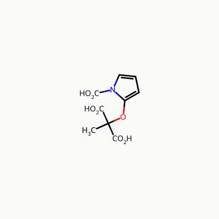 CC(Oc1cccn1C(=O)O)(C(=O)O)C(=O)O